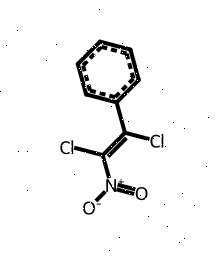 O=[N+]([O-])C(Cl)=C(Cl)c1ccccc1